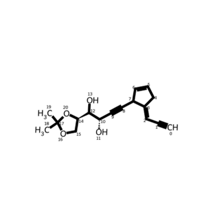 C#CC=C1CC=CC1C#C[C@H](O)C(O)[C@H]1COC(C)(C)O1